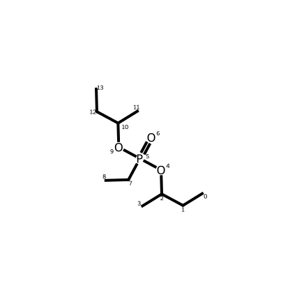 CCC(C)OP(=O)(CC)OC(C)CC